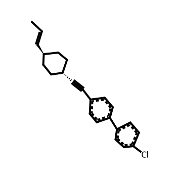 CC=C[C@H]1CC[C@H](C#Cc2ccc(-c3ccc(Cl)cc3)cc2)CC1